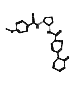 COc1ccc(C(=O)N[C@@H]2CCC[C@@H]2NC(=O)c2ccc(-n3ccccc3=O)cc2)cc1